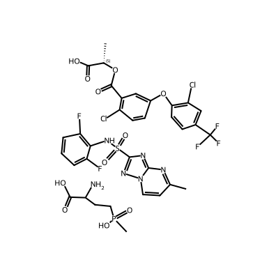 CP(=O)(O)CCC(N)C(=O)O.C[C@H](OC(=O)c1cc(Oc2ccc(C(F)(F)F)cc2Cl)ccc1Cl)C(=O)O.Cc1ccn2nc(S(=O)(=O)Nc3c(F)cccc3F)nc2n1